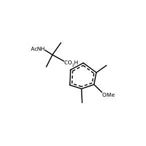 CC(=O)NC(C)(C)C(=O)O.COc1c(C)cccc1C